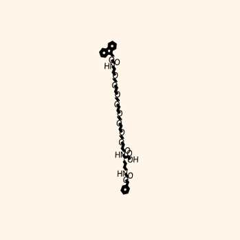 O=C(CCOCCOCCOCCOCCOCCOCCOCCOCCNC(=O)OCC1c2ccccc2-c2ccccc21)N[C@@H](CCCCNC(=O)OCc1ccccc1)C(=O)O